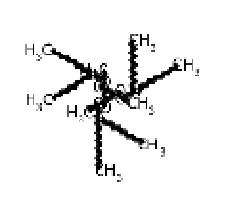 CCCCCCCCCCCCN(CCCCCCCCCCCC)CCC(CC)OC(=O)[C@H]1C[C@@H](C(=O)OC(CC)CCN(CCCCCCCCCCCC)CCCCCCCCCCCC)C[C@@H](C(=O)OC(CC)CCN(CCCCCCCCCCCC)CCCCCCCCCCCC)C1